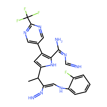 CC(/C(=C/Nc1ccccc1F)N=N)c1cc(-c2cnc(C(F)(F)F)nc2)c(/C(N)=N\C=N)[nH]1